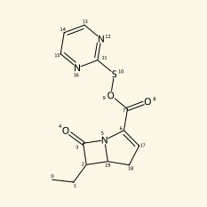 CCC1C(=O)N2C(C(=O)OSc3ncccn3)=CCC12